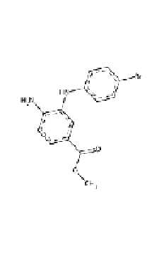 COC(=O)c1ccc(N)c(Nc2ccc(Br)cc2)c1